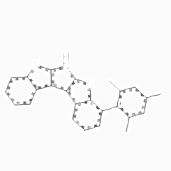 Cc1cc(C)c(-c2cccc3c2sc2[nH]c4sc5ccccc5c4c23)c(C)c1